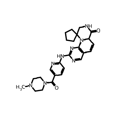 CN1CCN(C(=O)c2ccc(Nc3ncc4c(n3)N3C(C=C4)C(=O)NCC34CCCC4)nc2)CC1